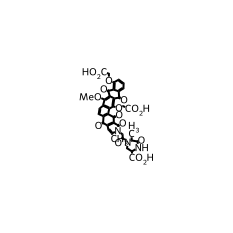 COc1c2ccc3c(=O)c4cc(C)n(CC(=O)N5CC(C(=O)O)NC(=O)C5C)c(=O)c4c(=O)c3c2c(OCC(=O)O)c2c(=O)c3cccc(OCC(=O)O)c3c(=O)c12